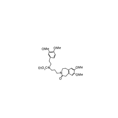 CCOC(=O)N(CCCN1CCc2cc(OC)c(OC)cc2CC1=O)CCc1ccc(OC)c(OC)c1